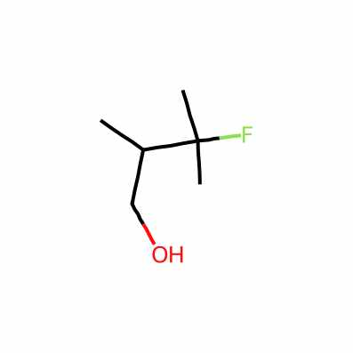 CC(CO)C(C)(C)F